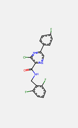 O=C(NCc1c(F)cccc1F)c1ncc(-c2ccc(F)cc2)nc1Cl